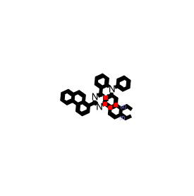 C/C=c1/ccc(-c2nc(-c3ccccc3N(c3ccccc3)c3ccccc3)nc(-c3cccc4c3ccc3ccccc34)n2)c/c1=C/C